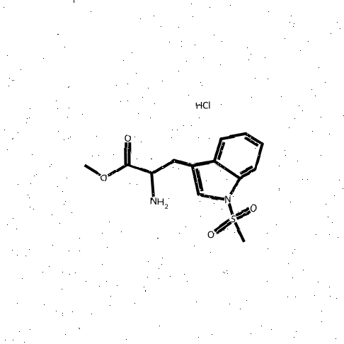 COC(=O)C(N)Cc1cn(S(C)(=O)=O)c2ccccc12.Cl